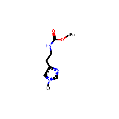 CCn1cnc(CCNC(=O)OC(C)(C)C)c1